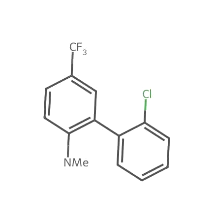 CNc1ccc(C(F)(F)F)cc1-c1ccccc1Cl